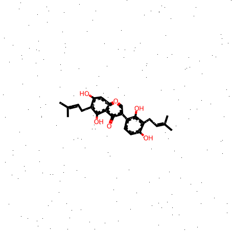 CC(C)=CCc1c(O)ccc(-c2coc3cc(O)c(CC=C(C)C)c(O)c3c2=O)c1O